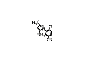 Cc1cc(N)n(-c2cc(C#N)ccc2Cl)n1